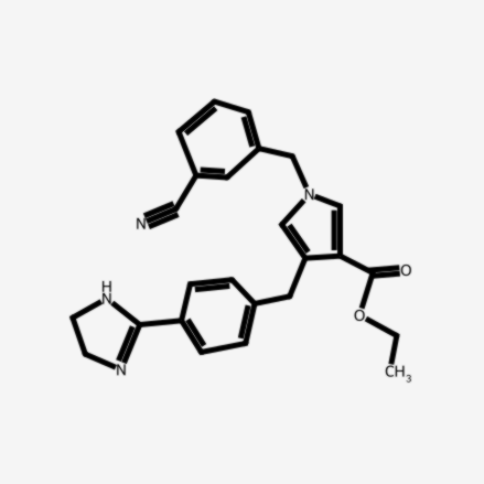 CCOC(=O)c1cn(Cc2cccc(C#N)c2)cc1Cc1ccc(C2=NCCN2)cc1